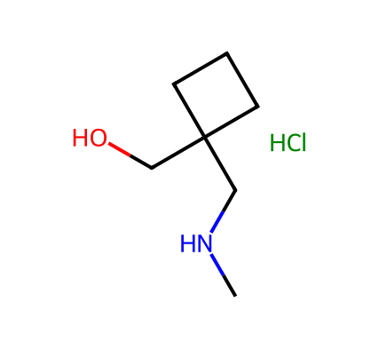 CNCC1(CO)CCC1.Cl